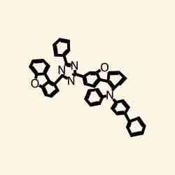 c1ccc(-c2ccc(N(c3ccccc3)c3cccc4oc5cc(-c6nc(-c7ccccc7)nc(-c7cccc8oc9ccccc9c78)n6)ccc5c34)cc2)cc1